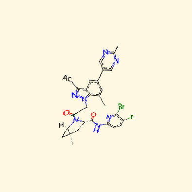 CC(=O)c1nn(CC(=O)N2[C@H](C(=O)Nc3ccc(F)c(Br)n3)C[C@@]3(C)C[C@@H]23)c2c(C)cc(-c3cnc(C)nc3)cc12